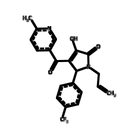 C=CCN1C(=O)C(O)=C(C(=O)c2ccc(C)nc2)C1c1ccc(C(F)(F)F)cc1